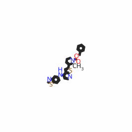 CC1C(c2cc3c(Nc4ccc5scnc5c4)ccnc3s2)=CCCN1C(=O)OCc1ccccc1